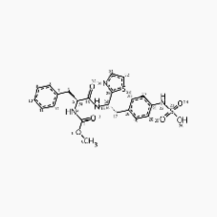 COC(=O)N[C@@H](Cc1ccccc1)C(=O)N[C@@H](Cc1ccc(NS(=O)(=O)O)cc1)c1nccs1